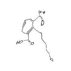 O=C(O)c1cccc(C(=O)O)c1CCCCCCl